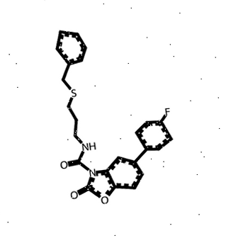 O=C(NCCCSCc1ccccc1)n1c(=O)oc2ccc(-c3ccc(F)cc3)cc21